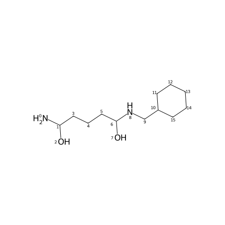 NC(O)CCCC(O)NCC1CCCCC1